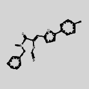 Cc1ccc(-c2ccc(/C=C(\SC=S)C(=O)N(C)Cc3ccccc3)o2)cc1